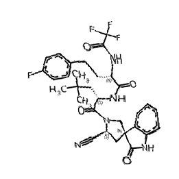 CC(C)(C)C[C@H](NC(=O)[C@H](CCc1ccc(F)cc1)NC(=O)C(F)(F)F)C(=O)N1C[C@]2(C[C@H]1C#N)C(=O)Nc1ccccc12